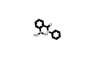 O=C(Oc1ccccc1)c1ccccc1B(O)O